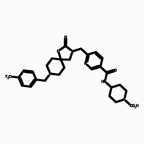 O=C(NC1CCN(C(=O)O)CC1)c1ccc(CN2CC3(CCN(Cc4ccc(C(F)(F)F)cc4)CC3)OC2=O)nc1